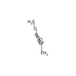 CCCCCCCc1ccc(OC(=O)c2ccc(OCCCC3CCC(CCCCC)CC3)cc2)cc1F